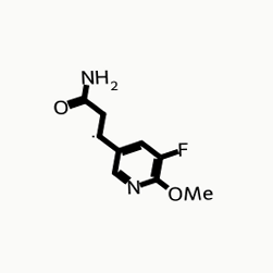 COc1ncc([CH]CC(N)=O)cc1F